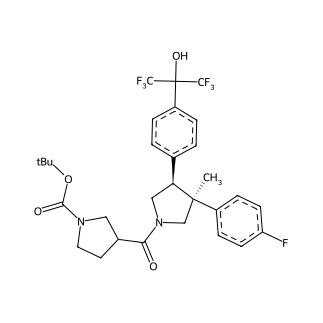 CC(C)(C)OC(=O)N1CCC(C(=O)N2C[C@@H](c3ccc(C(O)(C(F)(F)F)C(F)(F)F)cc3)[C@@](C)(c3ccc(F)cc3)C2)C1